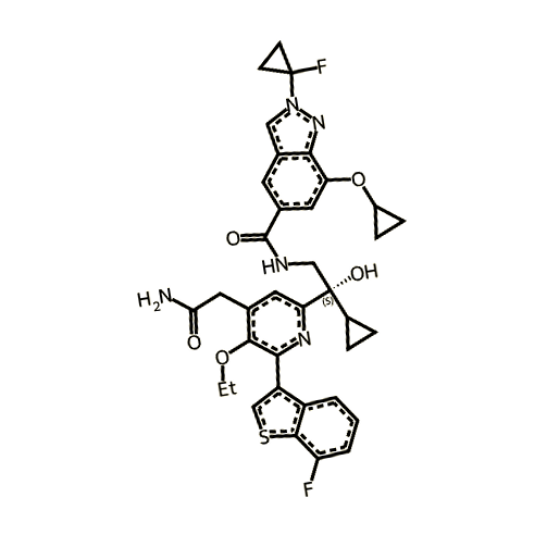 CCOc1c(CC(N)=O)cc([C@@](O)(CNC(=O)c2cc(OC3CC3)c3nn(C4(F)CC4)cc3c2)C2CC2)nc1-c1csc2c(F)cccc12